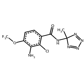 CC1(NC(=O)c2ccc(OC(F)(F)F)c(N)c2Cl)N=NN=N1